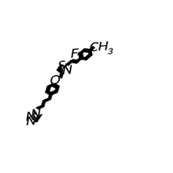 Cc1ccc(/C=C/c2nc(COc3ccc(CCCCn4ccnn4)cc3)cs2)c(F)c1